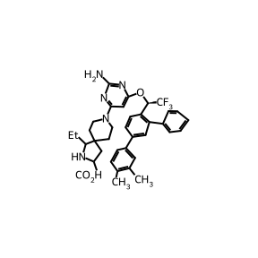 CCC1NC(C(=O)O)CC12CCN(c1cc(O[C@H](c3ccc(-c4ccc(C)c(C)c4)cc3-c3ccccc3)C(F)(F)F)nc(N)n1)CC2